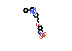 CS(=O)(=O)N1CCc2cc(OCCCC3CCN(c4nccc(-c5ccccc5)n4)CC3)ccc2C1